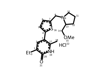 CCc1cc(-c2ccc(CN3CCCC3COC)s2)c(C)[nH]c1=O.Cl